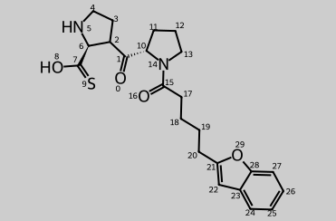 O=C(C1CCN[C@@H]1C(O)=S)[C@@H]1CCCN1C(=O)CCCCc1cc2ccccc2o1